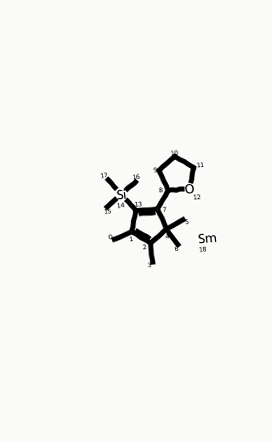 CC1=C(C)C(C)(C)C(C2CCCO2)=C1[Si](C)(C)C.[Sm]